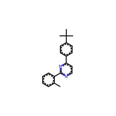 Cc1ccccc1-c1nccc(-c2ccc(C(C)(C)C)cc2)n1